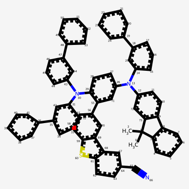 CC1(C)c2ccccc2-c2ccc(N(c3cccc(-c4ccccc4)c3)c3ccc(N(c4cccc(-c5ccccc5)c4)c4cccc(-c5ccccc5)c4)c(-c4ccc5sc6ccc(C#N)cc6c5c4)c3)cc21